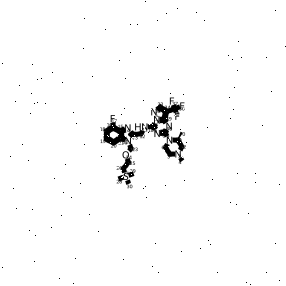 C[C@H]1CN(C)CCN1c1nc(NCc2nc3c(F)cccc3n2COCCS(C)(C)C)n2ncc(C(F)(F)F)c2n1